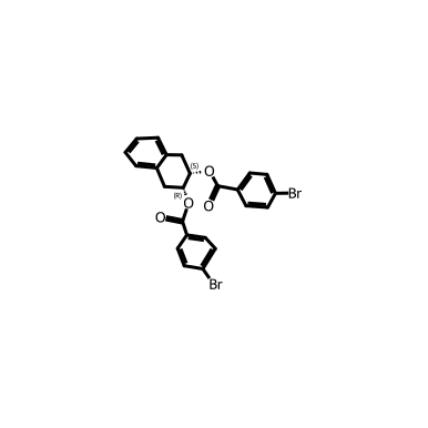 O=C(O[C@H]1Cc2ccccc2C[C@H]1OC(=O)c1ccc(Br)cc1)c1ccc(Br)cc1